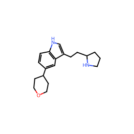 c1cc2[nH]cc(CCC3CCCN3)c2cc1C1CCOCC1